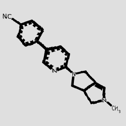 CN1C=C2CN(c3ccc(-c4ccc(C#N)cc4)cn3)CC2C1